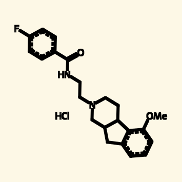 COc1cccc2c1C1CCN(CCNC(=O)c3ccc(F)cc3)CC1C2.Cl